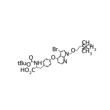 CC(C)(C)OC(=O)NC(Cc1ccc(Oc2ccnc3c2c(Br)cn3COCC[Si](C)(C)C)cc1)C(=O)O